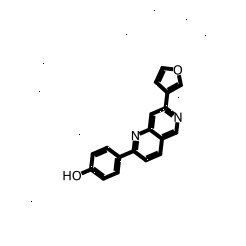 Oc1ccc(-c2ccc3cnc(-c4ccoc4)cc3n2)cc1